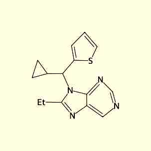 CCc1nc2cncnc2n1C(c1cccs1)C1CC1